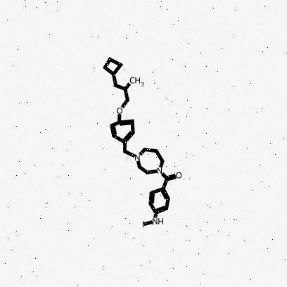 CC(COc1ccc(CN2CCCN(C(=O)c3ccc(NI)cc3)CC2)cc1)CC1CCC1